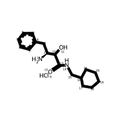 Cl.N[C@@H](Cc1ccccc1)C(O)C(=O)NCC1CCCCC1